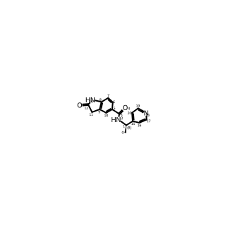 C[C@@H](NC(=O)c1ccc2c(c1)CC(=O)N2)c1ccncc1